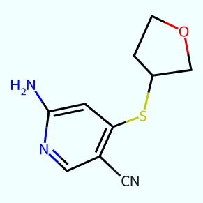 N#Cc1cnc(N)cc1SC1CCOC1